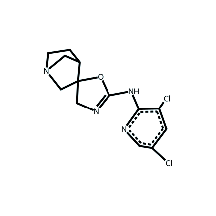 Clc1cnc(NC2=NCC3(CN4CCC3C4)O2)c(Cl)c1